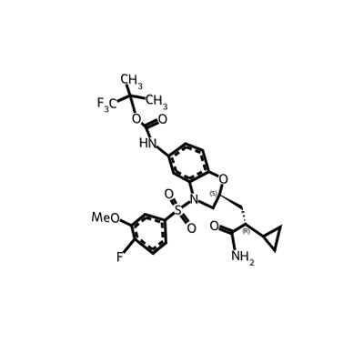 COc1cc(S(=O)(=O)N2C[C@H](C[C@@H](C(N)=O)C3CC3)Oc3ccc(NC(=O)OC(C)(C)C(F)(F)F)cc32)ccc1F